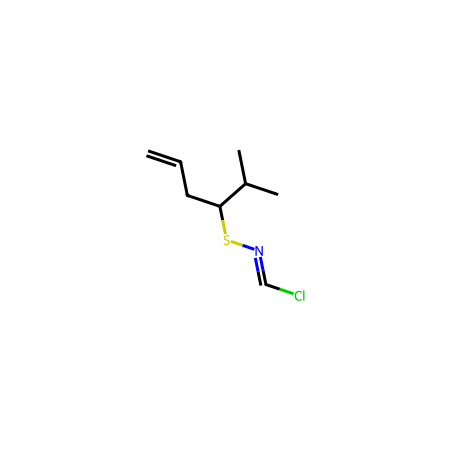 C=CCC(S/N=C/Cl)C(C)C